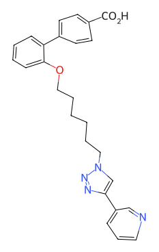 O=C(O)c1ccc(-c2ccccc2OCCCCCCn2cc(-c3cccnc3)nn2)cc1